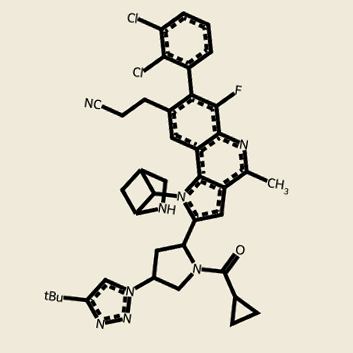 Cc1nc2c(F)c(-c3cccc(Cl)c3Cl)c(CCC#N)cc2c2c1cc(C1CC(n3cc(C(C)(C)C)nn3)CN1C(=O)C1CC1)n2C1C2CNC1C2